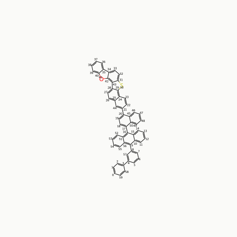 c1ccc(-c2cccc(-c3c4ccccc4c(-c4ccc(-c5ccc6c(ccc7c6sc6ccc8c9ccccc9oc8c67)c5)c5ccccc45)c4ccccc34)c2)cc1